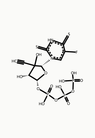 C#CC1(O)[C@@H](O)[C@@H](OP(=O)(O)OP(=O)(O)OP(=O)(O)O)O[C@H]1n1cc(F)c(=S)[nH]c1=S